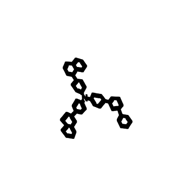 c1ccc(-c2cccc(-c3ccc(N(c4ccc(-c5ccc6ccccc6c5)cc4)c4ccc(-c5cccc6ccccc56)cc4)cc3)c2)cc1